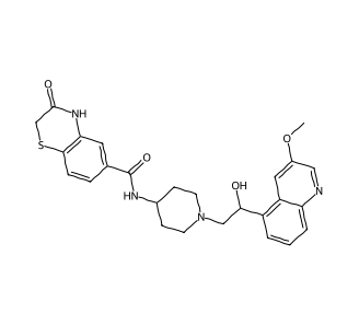 COc1cnc2cccc(C(O)CN3CCC(NC(=O)c4ccc5c(c4)NC(=O)CS5)CC3)c2c1